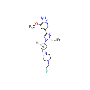 CC(C)Cc1nc(-c2cnc(N)c(OC(F)(F)F)c2)cn1[C@]12C3C(N4CCN(CCF)CC4)C[C@@H]1[C@H]32